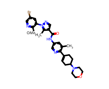 COc1ncc(Br)cc1-n1ncc(C(=O)Nc2cnc(C3=CCC(N4CCOCC4)CC3)c(C)c2)c1C